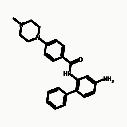 CN1CCN(c2ccc(C(=O)Nc3cc(N)ccc3-c3ccccc3)cc2)CC1